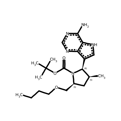 CCCCOC[C@@H]1C[C@H](C)[C@H](c2c[nH]c3c(N)ncnc23)N1C(=O)OC(C)(C)C